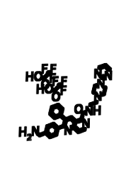 NCc1ccc(-c2nc3ccnc(C(=O)NCCN4CCN(c5ncccn5)CC4)c3cc2-c2ccccc2)cc1.O=C(O)C(F)(F)F.O=C(O)C(F)(F)F